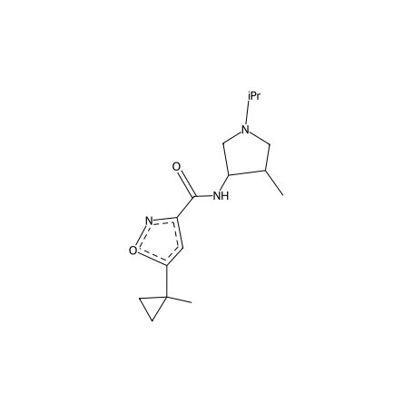 CC1CN(C(C)C)CC1NC(=O)c1cc(C2(C)CC2)on1